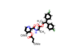 COCCC(=O)Oc1c(OC)ccnc1C(=O)N[C@@H](C)C(=O)O[C@@H](C)C(c1ccc(F)cc1)c1ccc(F)cc1